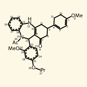 COC1=CC=C(C2CC(=O)C3=C(C2)Nc2ccccc2N(C(C)=O)C3c2ccc(OC(C)C)cc2OC)CC1